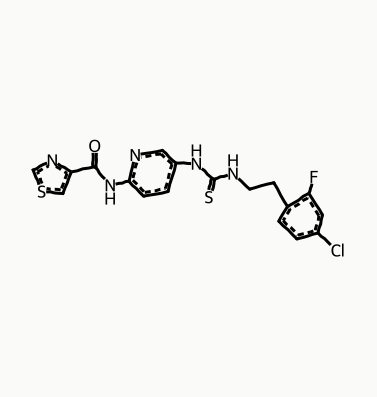 O=C(Nc1ccc(NC(=S)NCCc2ccc(Cl)cc2F)cn1)c1cscn1